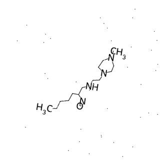 CCCCCC(CNCCN1CCN(C)CC1)N=O